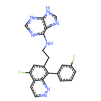 Fc1cccc(-c2c(CCNc3ncnc4[nH]cnc34)cc(F)c3ccnnc23)c1